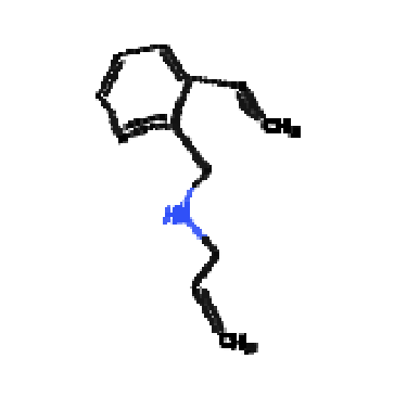 C=CCNCc1ccccc1C=C